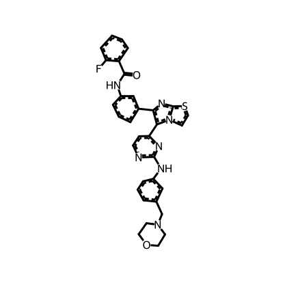 O=C(Nc1cccc(-c2nc3sccn3c2-c2ccnc(Nc3cccc(CN4CCOCC4)c3)n2)c1)c1ccccc1F